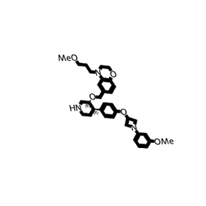 COCCCN1CCOc2ccc(CO[C@H]3CNCC[C@@H]3c3ccc(OC4CN(c5cccc(OC)c5)C4)cc3)cc21